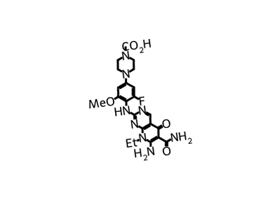 CCn1c(N)c(C(N)=O)c(=O)c2cnc(Nc3c(F)cc(N4CCN(C(=O)O)CC4)cc3OC)nc21